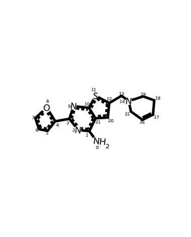 Nc1nc(-c2ccco2)nc2sc(CN3CC=CCC3)cc12